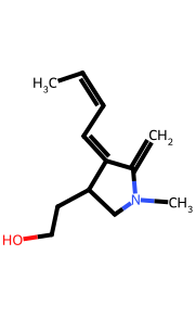 C=C1/C(=C\C=C/C)C(CCO)CN1C